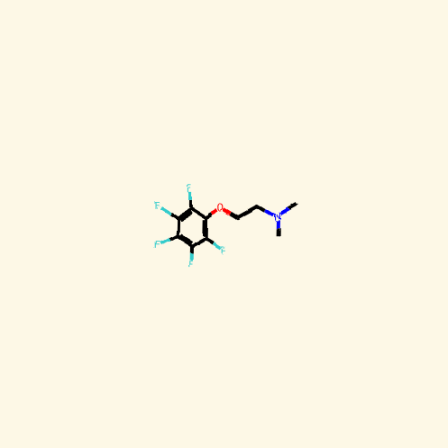 CN(C)CCOc1c(F)c(F)c(F)c(F)c1F